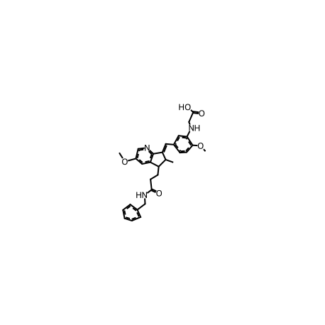 COc1cnc2c(c1)C(CCC(=O)NCc1ccccc1)C(C)C2=Cc1ccc(OC)c(NCC(=O)O)c1